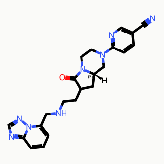 N#Cc1ccc(N2CCN3C(=O)C(CCNCc4cccc5ncnn45)C[C@H]3C2)nc1